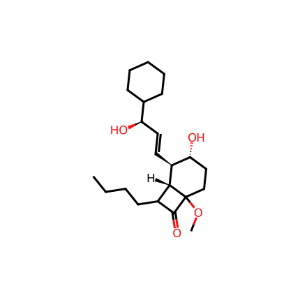 CCCCC1C(=O)C2(OC)CC[C@@H](O)[C@H](/C=C/[C@@H](O)C3CCCCC3)[C@@H]12